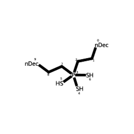 CCCCCCCCCCCCP(S)(S)(S)CCCCCCCCCCCC